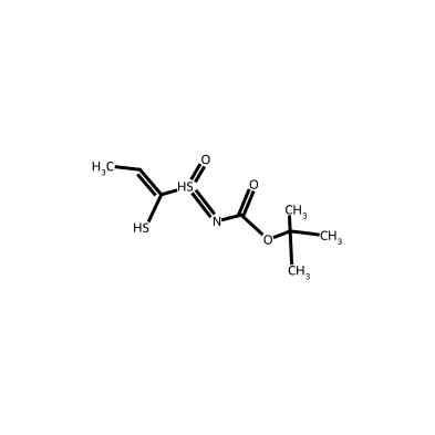 C/C=C(\S)[SH](=O)=NC(=O)OC(C)(C)C